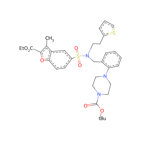 CCOC(=O)c1oc2ccc(S(=O)(=O)N(CCc3cccs3)Cc3ccccc3N3CCN(C(=O)OC(C)(C)C)CC3)cc2c1C